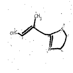 CC(=C[C]=O)C1=NCCS1